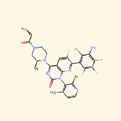 C=CC(=O)N1CCN(c2nc(=O)n(-c3c(C)ccnc3C(C)C)c3nc(-c4c(F)c(F)c(F)c(N)c4Cl)c(F)cc23)[C@@H](C)C1